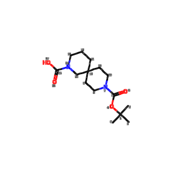 CC(C)(C)OC(=O)N1CCC2(CCCN(C(=O)O)C2)CC1